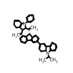 C=CC1C2=C(C=CCC2)N(c2ccccc2)C1C(=C)[C@H]1c2ccccc2-c2cc(C3=CCC4C(=C3)c3ccccc3N4C(C)C)ccc21